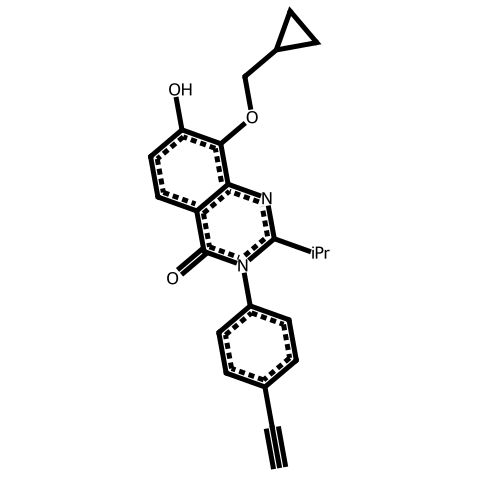 C#Cc1ccc(-n2c(C(C)C)nc3c(OCC4CC4)c(O)ccc3c2=O)cc1